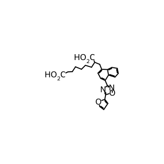 O=C(O)CCCCCCC(Cc1ccc(-c2noc(-c3ccco3)n2)c2ccccc12)C(=O)O